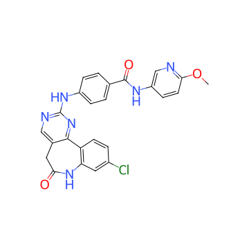 COc1ccc(NC(=O)c2ccc(Nc3ncc4c(n3)-c3ccc(Cl)cc3NC(=O)C4)cc2)cn1